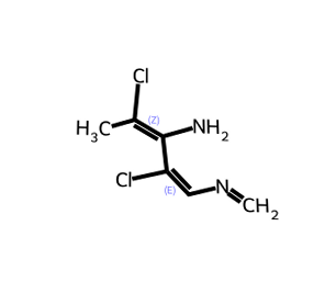 C=N/C=C(Cl)\C(N)=C(/C)Cl